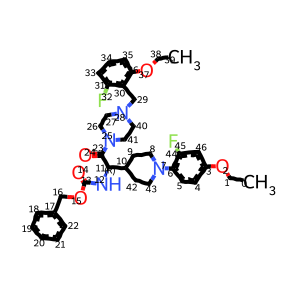 CCOc1ccc(N2CCC([C@@H](NC(=O)OCc3ccccc3)C(=O)N3CCN(Cc4c(F)cccc4OCC)CC3)CC2)c(F)c1